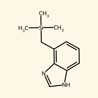 C[Si](C)(C)Cc1cccc2[nH][c]nc12